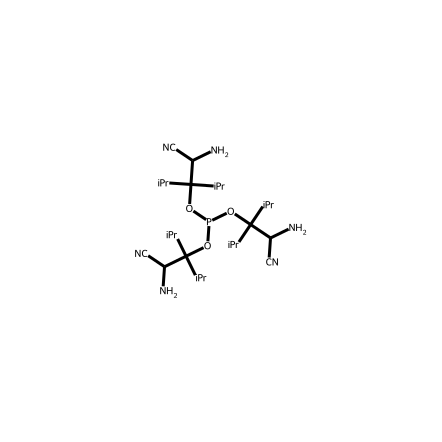 CC(C)C(OP(OC(C(C)C)(C(C)C)C(N)C#N)OC(C(C)C)(C(C)C)C(N)C#N)(C(C)C)C(N)C#N